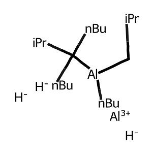 CCC[CH2][Al]([CH2]C(C)C)[C](CCCC)(CCCC)C(C)C.[Al+3].[H-].[H-].[H-]